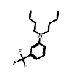 CCCCN(CCCC)c1cccc(C(F)(F)F)c1